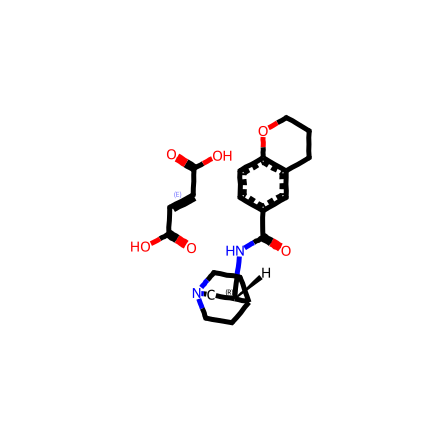 O=C(N[C@H]1CN2CCC1CC2)c1ccc2c(c1)CCCO2.O=C(O)/C=C/C(=O)O